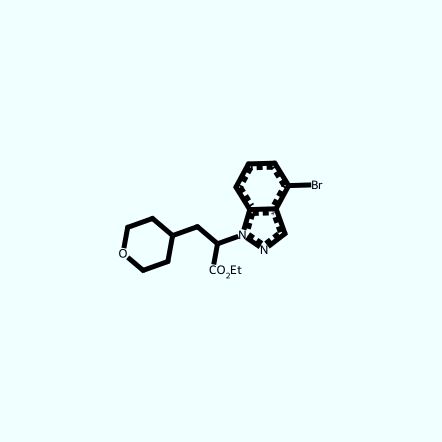 CCOC(=O)C(CC1CCOCC1)n1ncc2c(Br)cccc21